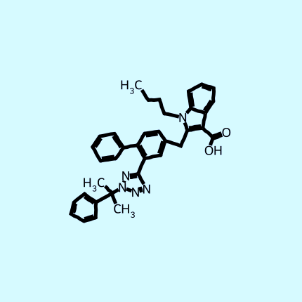 CCCCn1c(Cc2ccc(-c3ccccc3)c(-c3nnn(C(C)(C)c4ccccc4)n3)c2)c(C(=O)O)c2ccccc21